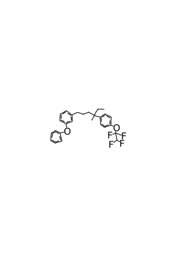 CCC(C)(CCCc1cccc(Oc2ccccc2)c1)c1ccc(OC(F)(F)C(F)F)cc1